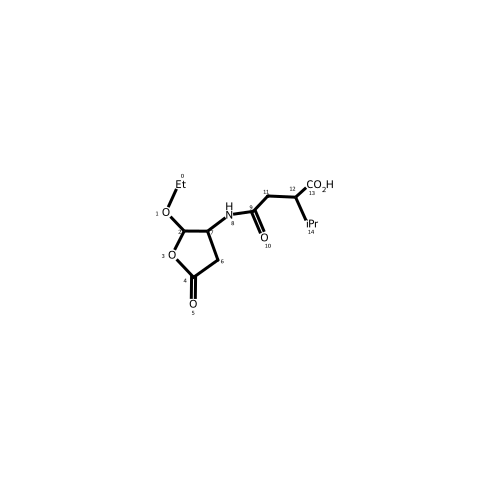 CCOC1OC(=O)CC1NC(=O)CC(C(=O)O)C(C)C